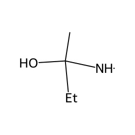 CCC(C)([NH])O